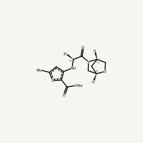 CC[C@H](Nc1cc(C(C)(C)C)sc1C(=O)OC)C(=O)N1C[C@@H]2C[C@H]1CO2